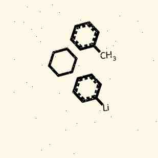 C1CCCCC1.Cc1ccccc1.[Li][c]1ccccc1